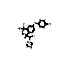 CC(O)(c1ccc(Oc2ccc(Cl)cc2)cc1C(F)(F)F)C(I)n1cncn1